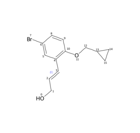 OC/C=C/c1cc(Br)ccc1OCC1CC1